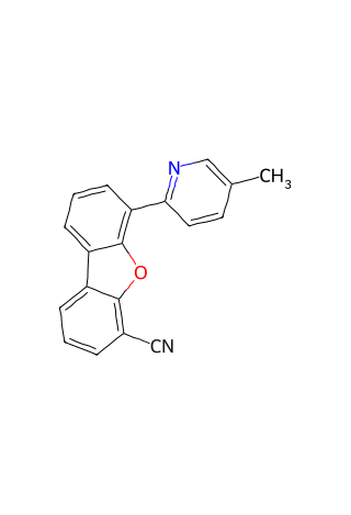 Cc1ccc(-c2cccc3c2oc2c(C#N)cccc23)nc1